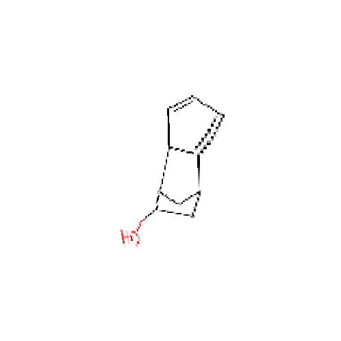 OC1CC2CC1C1C=CC=C21